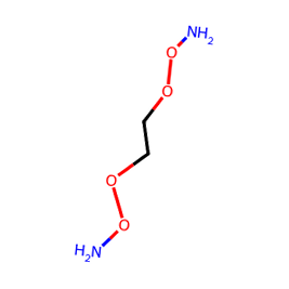 NOOCCOON